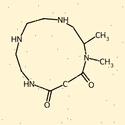 CC1CNCCNCCNC(=O)CC(=O)N1C